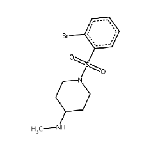 CNC1CCN(S(=O)(=O)c2ccccc2Br)CC1